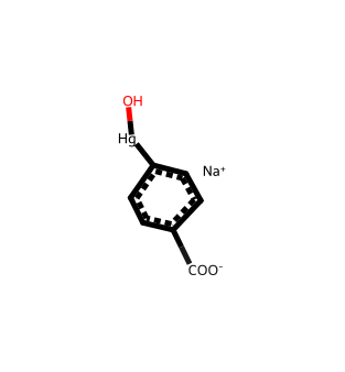 O=C([O-])c1cc[c]([Hg][OH])cc1.[Na+]